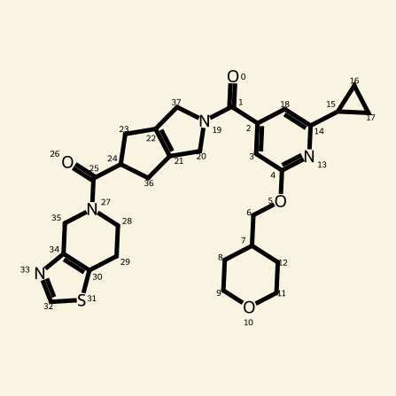 O=C(c1cc(OCC2CCOCC2)nc(C2CC2)c1)N1CC2=C(CC(C(=O)N3CCc4scnc4C3)C2)C1